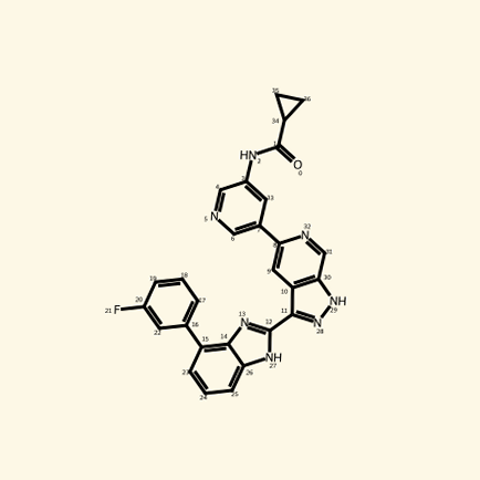 O=C(Nc1cncc(-c2cc3c(-c4nc5c(-c6cccc(F)c6)cccc5[nH]4)n[nH]c3cn2)c1)C1CC1